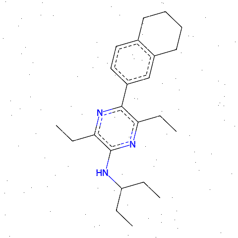 CCc1nc(-c2ccc3c(c2)CCCC3)c(CC)nc1NC(CC)CC